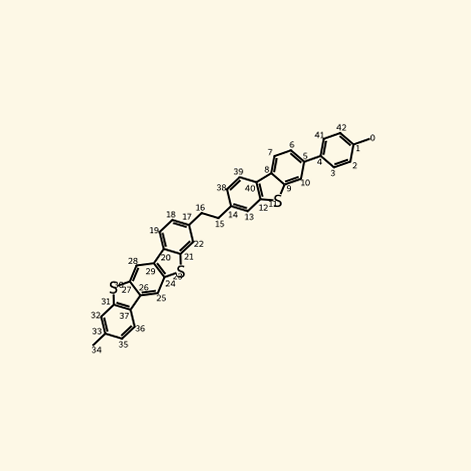 Cc1ccc(-c2ccc3c(c2)sc2cc(CCc4ccc5c(c4)sc4cc6c(cc45)sc4cc(C)ccc46)ccc23)cc1